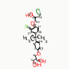 CC(C)(c1ccc(OC[C@H](O)CO)cc1)c1ccc(OCC(O)CCl)c(F)c1